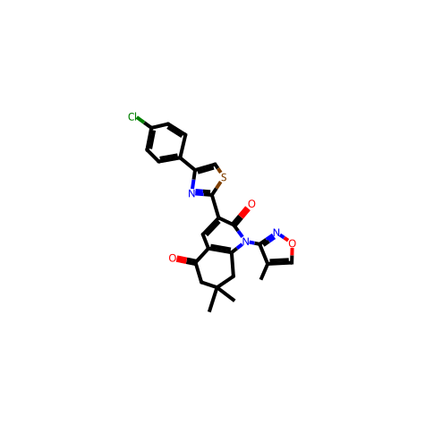 Cc1conc1-n1c2c(cc(-c3nc(-c4ccc(Cl)cc4)cs3)c1=O)C(=O)CC(C)(C)C2